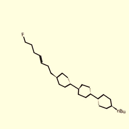 CCCC[C@H]1CC[C@H]([C@H]2CC[C@H]([C@H]3CC[C@H](CCC=CCCCF)CC3)CC2)CC1